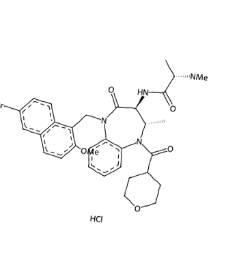 CN[C@@H](C)C(=O)N[C@@H]1C(=O)N(Cc2c(OC)ccc3cc(Br)ccc23)c2ccccc2N(C(=O)C2CCOCC2)[C@H]1C.Cl